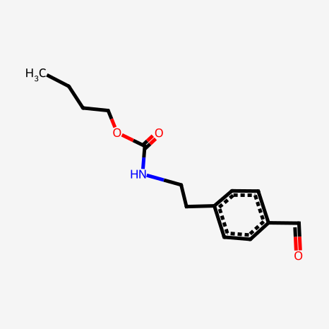 CCCCOC(=O)NCCc1ccc(C=O)cc1